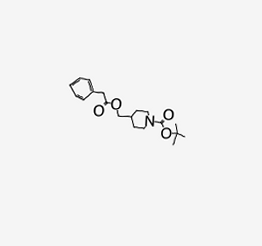 CC(C)(C)OC(=O)N1CCC(COC(=O)Cc2ccccc2)CC1